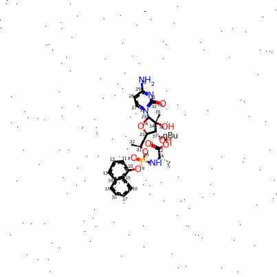 CCCCOC(=O)[C@H](C)NP(=O)(Oc1cccc2ccccc12)O[C@@H](C)[C@H]1O[C@@H](n2ccc(N)nc2=O)[C@](C)(O)[C@@H]1O